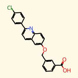 O=C(O)c1cccc(COc2ccc3nc(-c4ccc(Cl)cc4)ccc3c2)c1